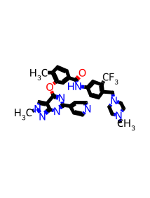 Cc1ccc(C(=O)Nc2ccc(CN3CCN(C)CC3)c(C(F)(F)F)c2)cc1Oc1nc(-c2ccncc2)nc2nn(C)cc12